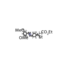 CCOC(=O)CCN(CC)c1ccc(/N=N/c2cc(OC)ccc2OC)cc1